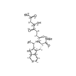 CNC(=O)[C@H](Cc1c(CC(C)C)[nH]c2ccccc12)NC(=O)CCC(=O)N(O)CC(=O)C(C)(C)C